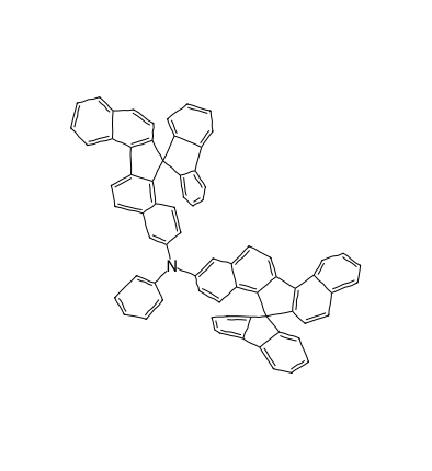 c1ccc(N(c2ccc3c4c(ccc3c2)-c2c(ccc3ccccc23)C42c3ccccc3-c3ccccc32)c2ccc3c4c(ccc3c2)-c2c(ccc3ccccc23)C42c3ccccc3-c3ccccc32)cc1